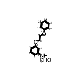 O=CNc1cccc(OCCOc2ccccc2)c1